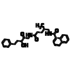 CC(CCC(=O)NCC(=O)C(O)CCc1ccccc1)CNC(=O)c1cccc2ccccc12